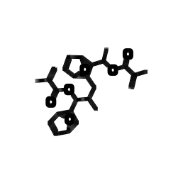 C=C(C)C(=O)OC(C)c1c(CC(C)C(OC(=O)C(=C)C)c2cc3ccc2o3)c2ccc1o2